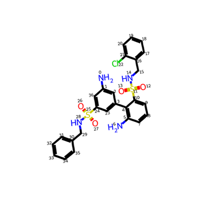 Nc1cc(-c2c(N)c[c]cc2S(=O)(=O)NCc2ccccc2Cl)cc(S(=O)(=O)NCc2ccccc2)c1